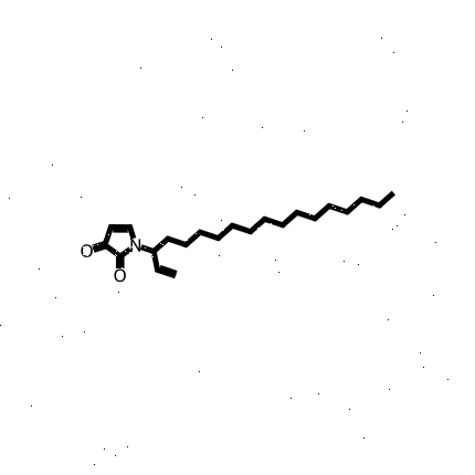 C=CC(CCCCCCCCCCCCCCC)N1C=CC(=O)C1=O